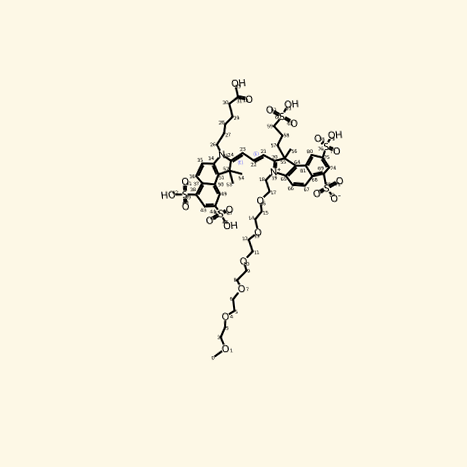 COCCOCCOCCOCCOCCOCC[N+]1=C(/C=C/C=C2/N(CCCCCC(=O)O)c3ccc4c(S(=O)(=O)O)cc(S(=O)(=O)O)cc4c3C2(C)C)C(C)(CCCS(=O)(=O)O)c2c1ccc1c(S(=O)(=O)[O-])cc(S(=O)(=O)O)cc21